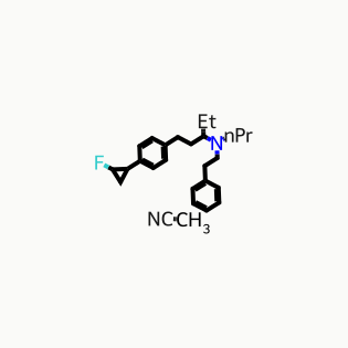 CC#N.CCCN(CCc1ccccc1)C(CC)CCc1ccc(C2CC2F)cc1